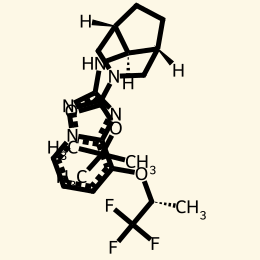 C[C@@H](Oc1cccn2nc(N[C@@H]3[C@@H]4CC[C@H]3CN(C(=O)OC(C)(C)C)C4)nc12)C(F)(F)F